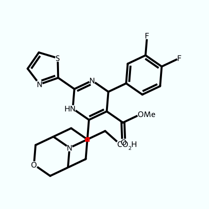 COC(=O)C1=C(CN2C3COCC2CC(CC(=O)O)C3)NC(c2nccs2)=NC1c1ccc(F)c(F)c1